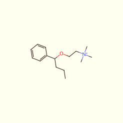 CCCC(OCC[N+](C)(C)C)c1ccccc1